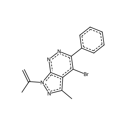 C=C(C)n1nc(C)c2c(Br)c(-c3ccccc3)nnc21